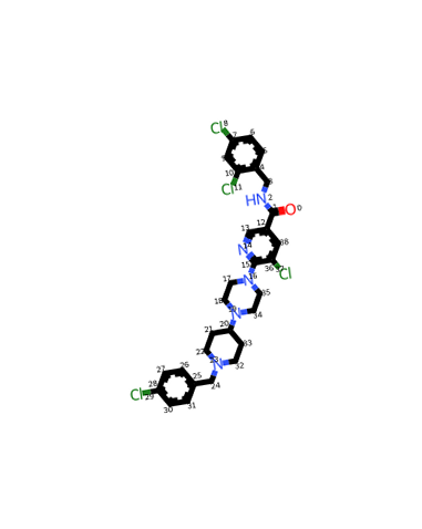 O=C(NCc1ccc(Cl)cc1Cl)c1cnc(N2CCN(C3CCN(Cc4ccc(Cl)cc4)CC3)CC2)c(Cl)c1